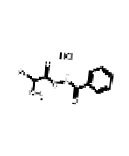 CC(C)C(N)C(=O)ONC(=O)c1ccccc1.Cl